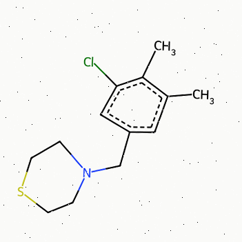 Cc1cc(CN2CCSCC2)cc(Cl)c1C